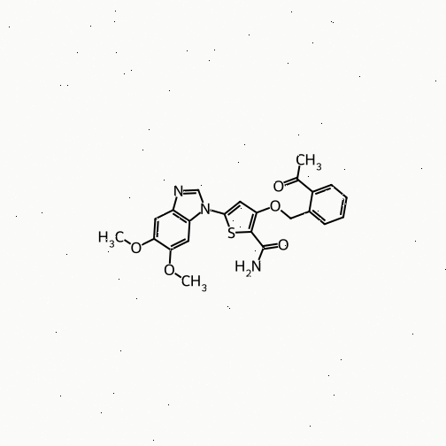 COc1cc2ncn(-c3cc(OCc4ccccc4C(C)=O)c(C(N)=O)s3)c2cc1OC